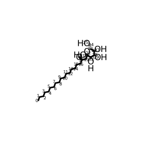 CCCCCCCCCCCCCCCCCC(=O)C[C@@]1(O)O[C@H](CO)[C@@H](O)[C@H](O)[C@H]1O